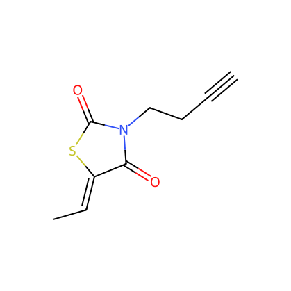 C#CCCN1C(=O)S/C(=C\C)C1=O